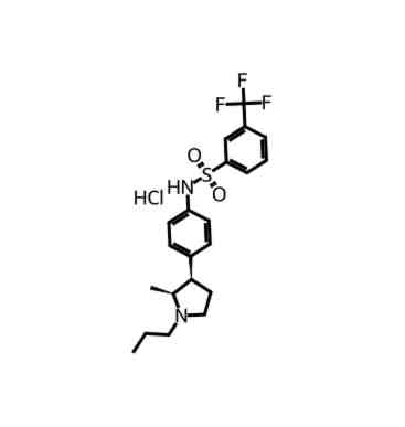 CCCN1CC[C@H](c2ccc(NS(=O)(=O)c3cccc(C(F)(F)F)c3)cc2)[C@@H]1C.Cl